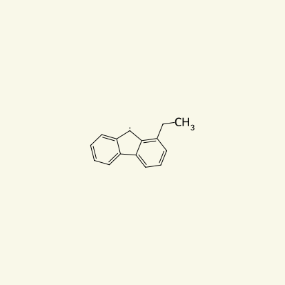 CCc1cccc2c1[CH]c1ccccc1-2